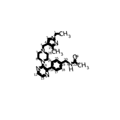 CCn1cc(CN2CCN(c3nccnc3-c3ccc(CNC(C)=O)cc3)CC2)c(C)n1